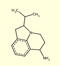 CC(C)C1Cc2cccc3c2N1CCC3N